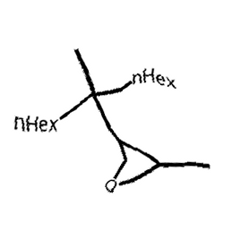 CCCCCCC(C)(CCCCCC)C1OC1C